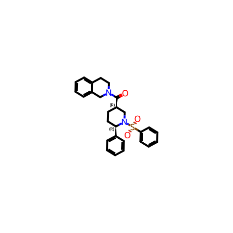 O=C([C@@H]1CC[C@H](c2ccccc2)N(S(=O)(=O)c2ccccc2)C1)N1CCc2ccccc2C1